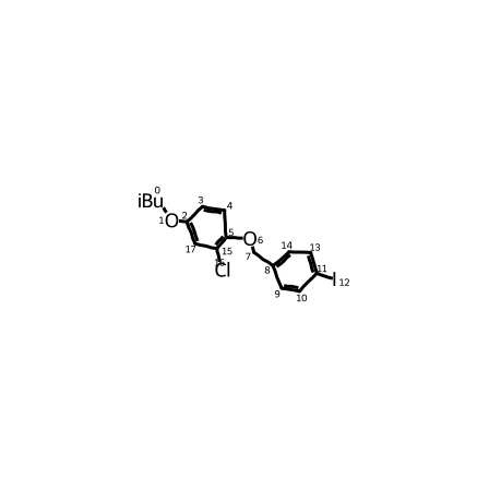 CCC(C)Oc1ccc(OCc2ccc(I)cc2)c(Cl)c1